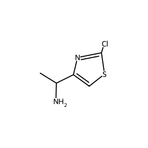 CC(N)c1csc(Cl)n1